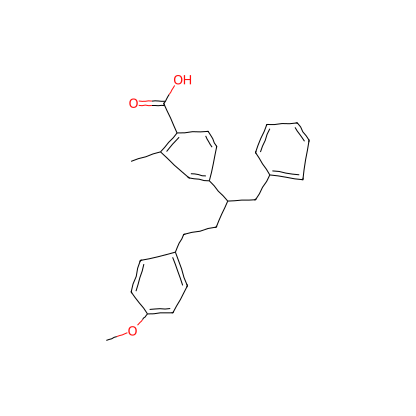 COc1ccc(CCC(Cc2ccccc2)c2ccc(C(=O)O)c(C)c2)cc1